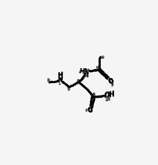 CNCC(NC(C)=O)C(=O)O